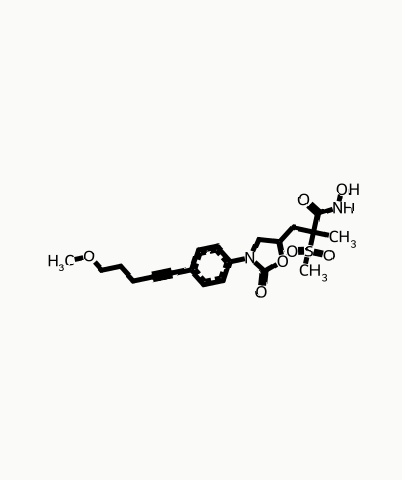 COCCCC#Cc1ccc(N2CC(CC(C)(C(=O)NO)S(C)(=O)=O)OC2=O)cc1